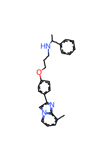 Cc1cccn2cc(-c3ccc(OCCCNC(C)c4ccccc4)cc3)nc12